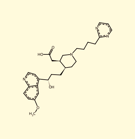 COc1ccc2nccc([C@@H](O)CC[C@@H]3CCN(CCCCc4ncccn4)C[C@@H]3CC(=O)O)c2c1